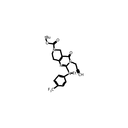 C#CCn1c(N(CC)c2ccc(C(F)(F)F)cc2)nc2c(c1=O)CN(C(=O)OC(C)(C)C)CC2